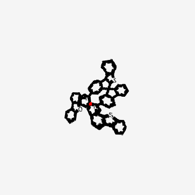 c1ccc(N(c2ccc3c(c2)C2(c4ccccc4-c4ccc(N(c5ccccc5)c5cccc6c5sc5ccccc56)cc42)c2sc4ccccc4c2-3)c2cccc3c2oc2ccccc23)cc1